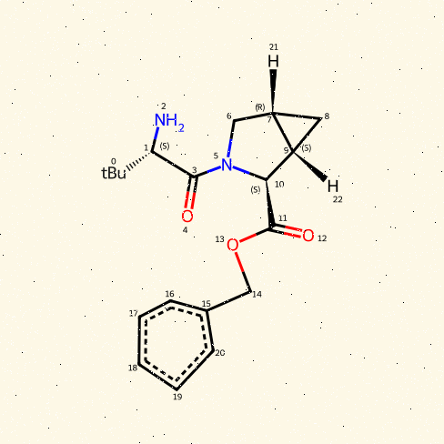 CC(C)(C)[C@H](N)C(=O)N1C[C@@H]2C[C@@H]2[C@H]1C(=O)OCc1ccccc1